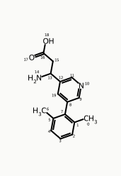 Cc1cccc(C)c1-c1cncc(C(N)CC(=O)O)c1